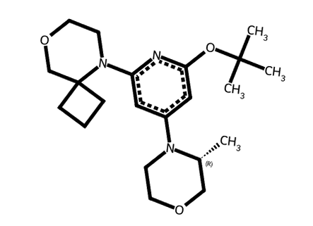 C[C@@H]1COCCN1c1cc(OC(C)(C)C)nc(N2CCOCC23CCC3)c1